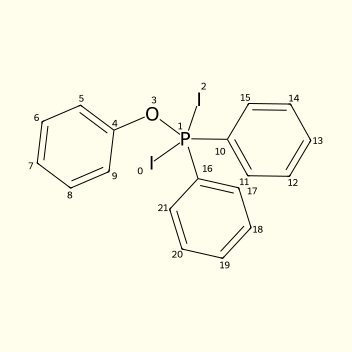 IP(I)(Oc1ccccc1)(c1ccccc1)c1ccccc1